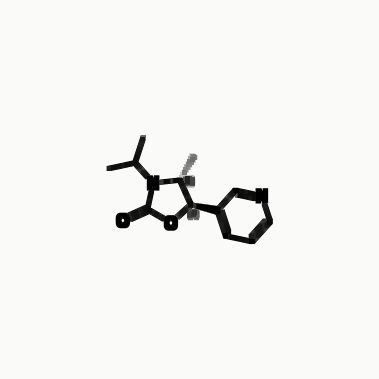 CC(C)N1C(=O)O[C@H](c2cccnc2)[C@H]1C